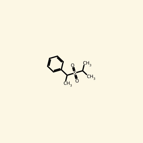 CC(C)S(=O)(=O)C(C)c1ccccc1